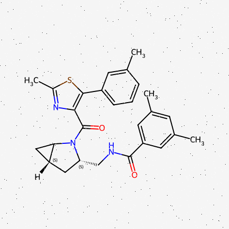 Cc1cc(C)cc(C(=O)NC[C@@H]2C[C@@H]3CC3N2C(=O)c2nc(C)sc2-c2cccc(C)c2)c1